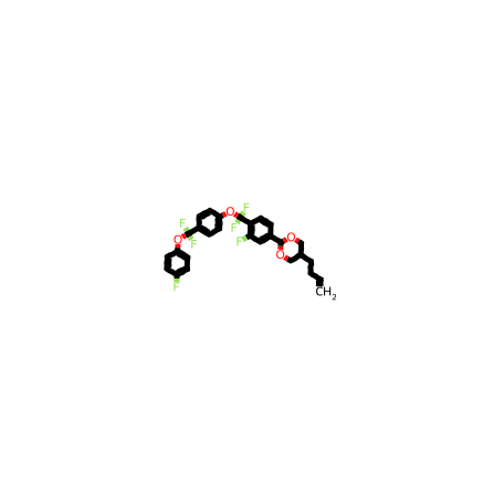 C=CCCC1COC(c2ccc(C(F)(F)Oc3ccc(C(F)(F)Oc4ccc(F)cc4)cc3)c(F)c2)OC1